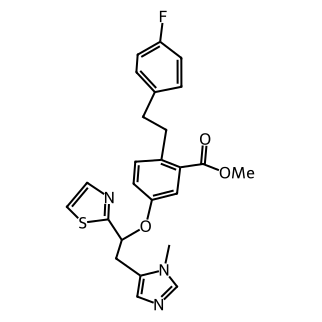 COC(=O)c1cc(OC(Cc2cncn2C)c2nccs2)ccc1CCc1ccc(F)cc1